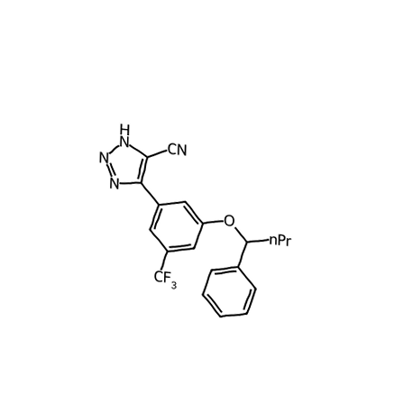 CCCC(Oc1cc(-c2nn[nH]c2C#N)cc(C(F)(F)F)c1)c1ccccc1